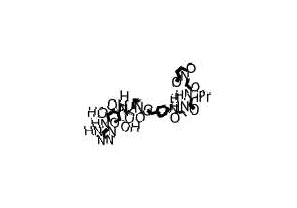 CC(C)[C@H](NC(=O)CCN1C(=O)C=CC1=O)C(=O)N[C@@H](C)C(=O)Nc1ccc(COC(=O)N2CC[C@@H]2C(=O)N[C@@H]2[C@@H](O)[C@H](O)[C@@H](Nc3ncnc4nc[nH]c34)O[C@H]2CO)cc1